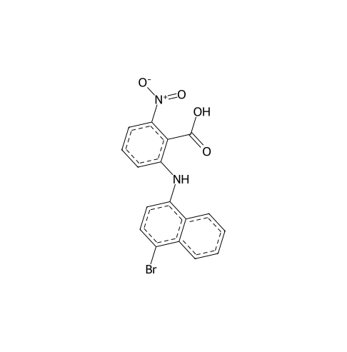 O=C(O)c1c(Nc2ccc(Br)c3ccccc23)cccc1[N+](=O)[O-]